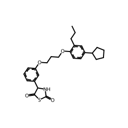 CCCc1cc(C2CCCC2)ccc1OCCCOc1cccc(C2NC(=O)SC2=O)c1